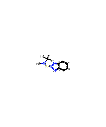 CCC(C)(C)N(Sn1nc2ccccc2n1)C(C)C